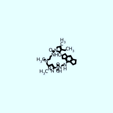 CCC1=C(C)CN(C(=O)NCCN(C)Cc2cc(S(=O)(=O)NCNc3c4c(cc5c3CCC5)CCC4)nn2C)C1=O